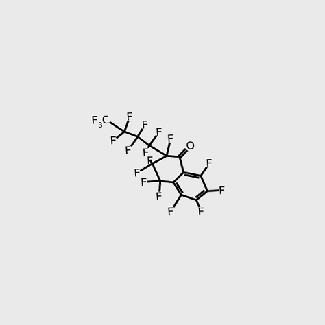 O=C1c2c(F)c(F)c(F)c(F)c2C(F)(F)C(F)(F)C1(F)C(F)(F)C(F)(F)C(F)(F)C(F)(F)F